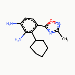 Cc1noc(-c2ccc(N)c(N)c2C2CCCCC2)n1